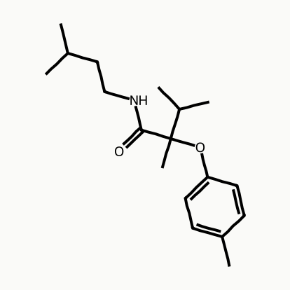 Cc1ccc(OC(C)(C(=O)NCCC(C)C)C(C)C)cc1